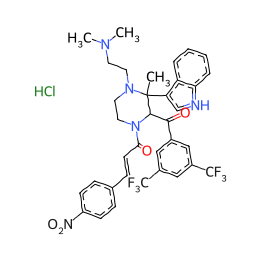 CN(C)CCN1CCN(C(=O)C=Cc2ccc([N+](=O)[O-])cc2)C(C(=O)c2cc(C(F)(F)F)cc(C(F)(F)F)c2)C1(C)c1c[nH]c2ccccc12.Cl